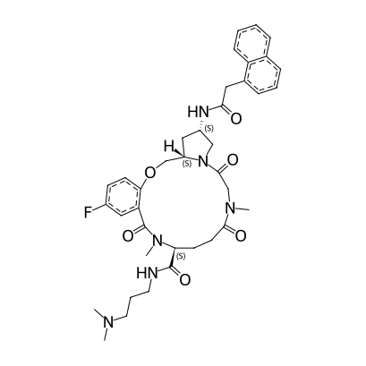 CN(C)CCCNC(=O)[C@@H]1CCC(=O)N(C)CC(=O)N2C[C@@H](NC(=O)Cc3cccc4ccccc34)C[C@H]2COc2ccc(F)cc2C(=O)N1C